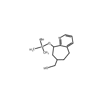 CC(C)(C)[Si](C)(C)OC1CC(CO)CCc2cccnc21